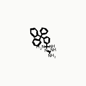 NC1=NC(N)(c2cccc(C(c3ccccc3)(c3ccccc3)c3ccccc3)c2)NN1